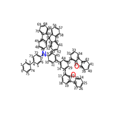 c1ccc(-c2ccc(N(c3ccc(-c4cc(-c5cccc6c5oc5ccccc56)cc(-c5cccc6c5oc5ccccc56)c4)cc3)c3ccc4c(c3)C3(c5ccccc5-c5ccccc53)c3ccccc3-4)cc2)cc1